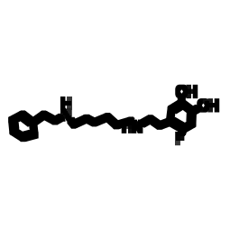 Oc1cc(F)c(CCNCCCCCCNCCc2ccccc2)cc1O